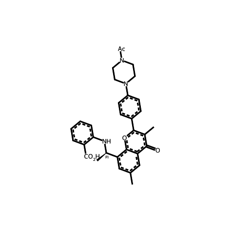 CC(=O)N1CCN(c2ccc(-c3oc4c([C@@H](C)Nc5ccccc5C(=O)O)cc(C)cc4c(=O)c3C)cc2)CC1